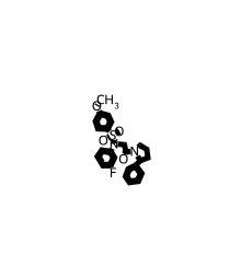 COc1ccc(S(=O)(=O)N(CC(=O)N2CCCC2c2ccccc2)c2cccc(F)c2)cc1